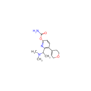 CC(c1nc(OC(N)=O)ccc1C1=CCOCC1)N(C)C